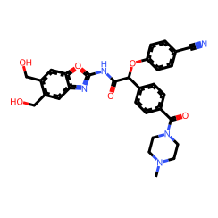 CN1CCN(C(=O)c2ccc(C(Oc3ccc(C#N)cc3)C(=O)Nc3nc4cc(CO)c(CO)cc4o3)cc2)CC1